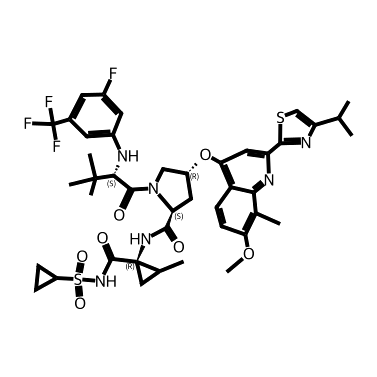 COc1ccc2c(O[C@@H]3C[C@@H](C(=O)N[C@]4(C(=O)NS(=O)(=O)C5CC5)CC4C)N(C(=O)[C@@H](Nc4cc(F)cc(C(F)(F)F)c4)C(C)(C)C)C3)cc(-c3nc(C(C)C)cs3)nc2c1C